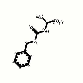 CCCC[C@H](NC(=O)OCc1ccccc1)C(=O)O